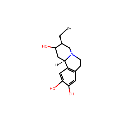 CC(C)C[C@H]1CN2CCc3cc(O)c(O)cc3[C@H]2CC1O